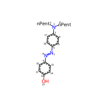 CCCCCN(CCCCC)c1ccc(N=Nc2ccc(O)cc2)cc1